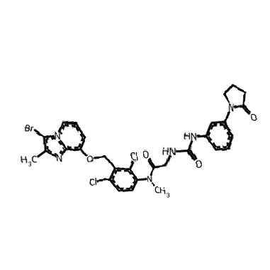 Cc1nc2c(OCc3c(Cl)ccc(N(C)C(=O)CNC(=O)Nc4cccc(N5CCCC5=O)c4)c3Cl)cccn2c1Br